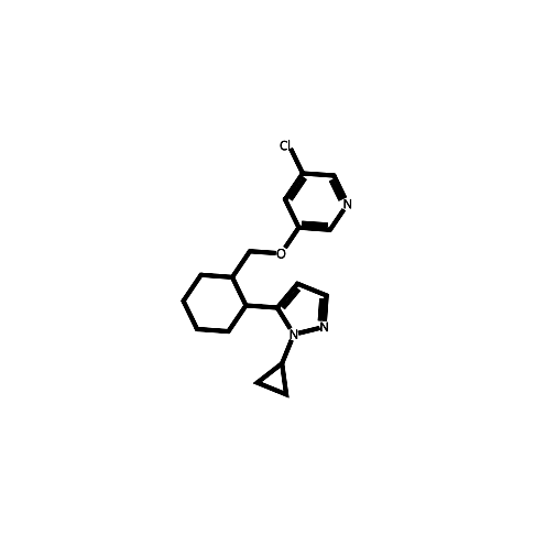 Clc1cncc(OCC2CCCCC2c2ccnn2C2CC2)c1